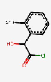 CC(=O)Oc1ccccc1C(O)C(=O)Cl